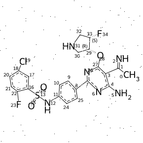 CC(=N)c1c(N)nc(-c2ccc(NS(=O)(=O)c3cc(Cl)ccc3F)cc2)nc1O[C@@H]1CNC[C@@H]1F